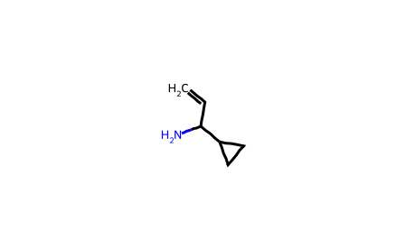 C=CC(N)C1CC1